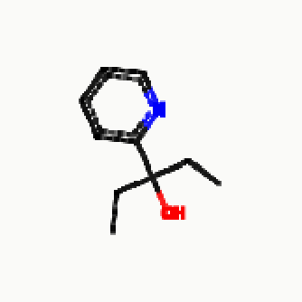 CCC(O)(CC)c1ccccn1